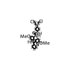 COc1cc(NC(=O)Nc2ccc(N(CCCl)CCCl)cc2)cc(Nc2c3ccccc3nc3c(OC)cccc23)c1